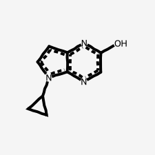 Oc1cnc2c(ccn2C2CC2)n1